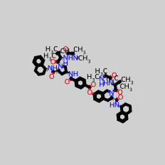 CN[C@@H](C)C(=O)NC(C(=O)N1Cc2cc(OC(=O)c3ccc(C(=O)N[C@H]4C[C@@H](C(=O)N[C@@H]5CCCc6ccccc65)N(C(=O)[C@@H](NC(=O)[C@H](C)NC)C(C)(C)C)C4)cc3)ccc2C[C@H]1C(=O)N[C@@H]1CCCc2ccccc21)C(C)(C)C